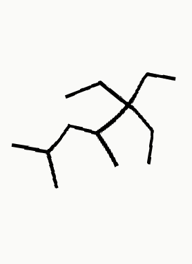 CCC(CC)(CC)C(C)CC(C)C